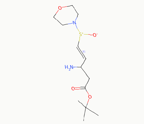 CC(C)(C)OC(=O)CC(N)/C=C/[S+]([O-])N1CCOCC1